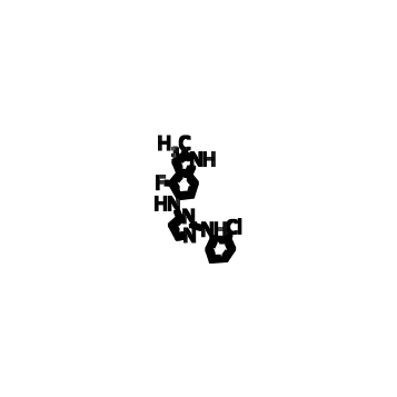 Cc1cc2c(F)c(Nc3ccnc(Nc4ccccc4Cl)n3)ccc2[nH]1